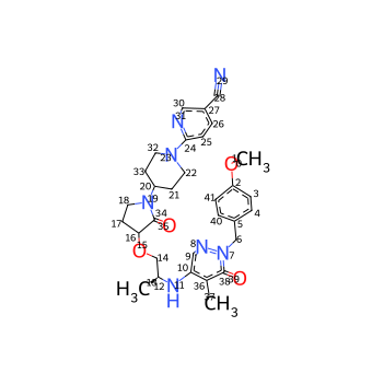 COc1ccc(Cn2ncc(N[C@@H](C)COC3CCN(C4CCN(c5ccc(C#N)cn5)CC4)C3=O)c(C)c2=O)cc1